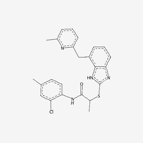 Cc1ccc(NC(=O)C(C)Sc2nc3cccc(Cc4cccc(C)n4)c3[nH]2)c(Cl)c1